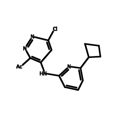 CC(=O)c1nnc(Cl)cc1Nc1cccc(C2CCC2)n1